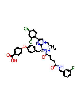 CCn1cc(-c2ccc(Cl)cc2Cl)nc1[C@H](Cc1ccc(Oc2ccc(C(=O)O)cc2)cc1)NC(=O)CCCC(=O)NCc1cccc(F)c1